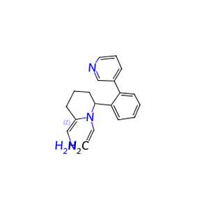 C=CN1/C(=C\N)CCCC1c1ccccc1-c1cccnc1